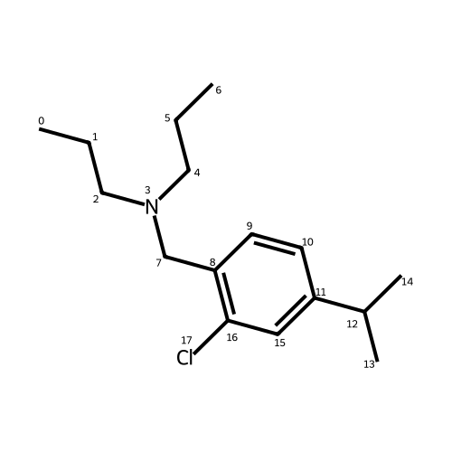 CCCN(CCC)Cc1ccc(C(C)C)cc1Cl